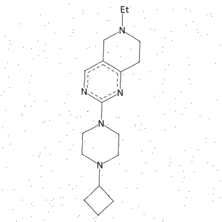 CCN1CCc2nc(N3CCN(C4CCC4)CC3)ncc2C1